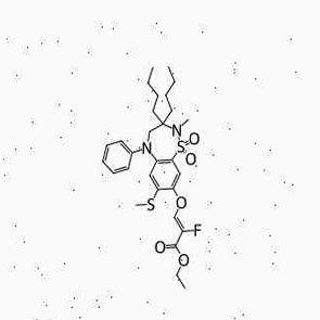 CCCCC1(CCCC)CN(c2ccccc2)c2cc(SC)c(O/C=C(\F)C(=O)OCC)cc2S(=O)(=O)N1C